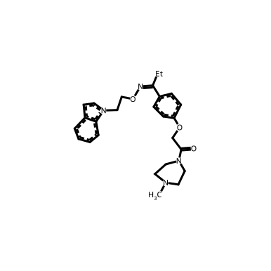 CCC(=NOCCn1ccc2ccccc21)c1ccc(OCC(=O)N2CCN(C)CC2)cc1